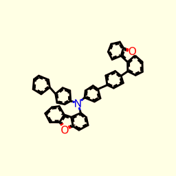 c1ccc(-c2ccc(N(c3ccc(-c4ccc(-c5cccc6oc7ccccc7c56)cc4)cc3)c3cccc4oc5ccccc5c34)cc2)cc1